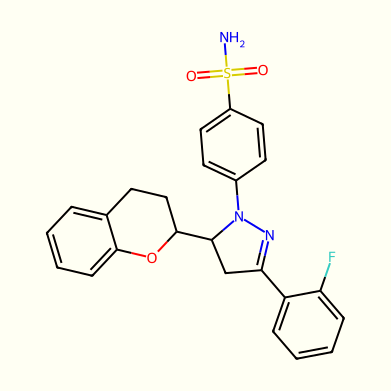 NS(=O)(=O)c1ccc(N2N=C(c3ccccc3F)CC2C2CCc3ccccc3O2)cc1